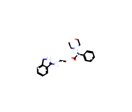 O=C(OCCNC1=NCc2ccccc21)C(c1ccccc1)N1CCOCC1